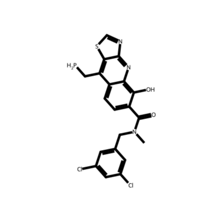 CN(Cc1cc(Cl)cc(Cl)c1)C(=O)c1ccc2c(CP)c3scnc3nc2c1O